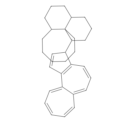 C1=CC=C2C(=CC=CC3=C2C=CC3[C]2CCCC3CCCC4CCCCCCC243)C=C1